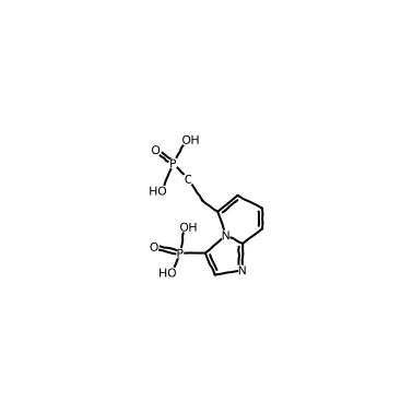 O=P(O)(O)CCc1cccc2ncc(P(=O)(O)O)n12